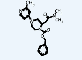 Cc1cc(N2CCN(C(=O)OCc3ccccc3)C(CC(=O)N(C)C)C2)ccn1